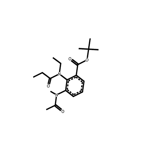 CCC(=O)N(CC)c1c(C(=O)OC(C)(C)C)cccc1N(C)C(C)=O